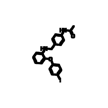 CC(=O)Nc1ccc(CNc2ccccc2Oc2ccc(I)cc2)cc1